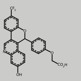 O=C(O)COc1ccc(C2Oc3cc(C(F)(F)F)ccc3-c3cnc4cc(O)ccc4c32)cc1